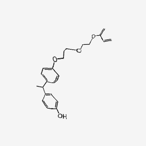 C=CC(=C)OCCOCCOc1ccc(C(C)c2ccc(O)cc2)cc1